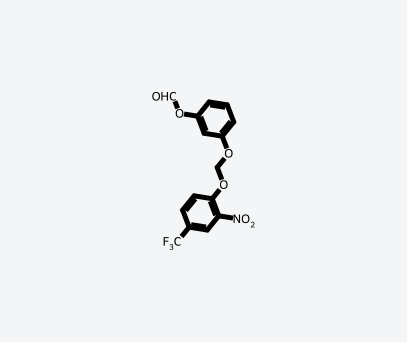 O=COc1cccc(OCOc2ccc(C(F)(F)F)cc2[N+](=O)[O-])c1